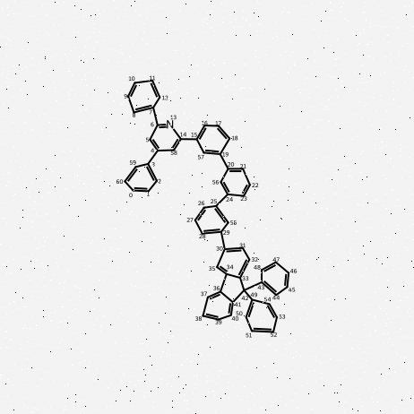 c1ccc(-c2cc(-c3ccccc3)nc(-c3cccc(-c4cccc(-c5cccc(-c6ccc7c(c6)-c6ccccc6C7(c6ccccc6)c6ccccc6)c5)c4)c3)c2)cc1